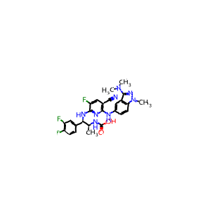 C[C@H](NC(=O)O)[C@H](Nc1nc(Nc2ccc3c(c2)c(N(C)C)nn3C)c(C#N)cc1F)c1ccc(F)c(F)c1